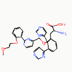 COCCOc1ccccc1-c1nccc(COC2(c3ccncn3)C(c3ccncn3)=CC=CC2CC(N)C(=O)O)n1